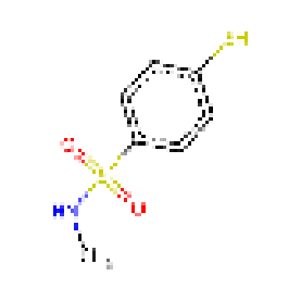 CNS(=O)(=O)c1ccc(S)cc1